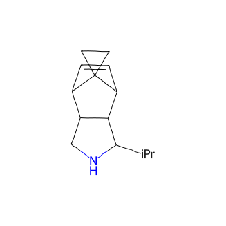 CC(C)C1NCC2C1C1C=CC2C12CC2